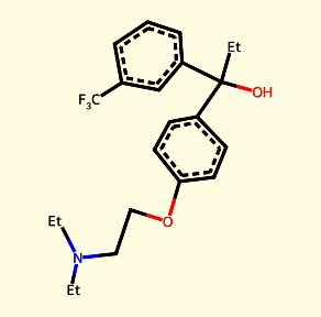 CCN(CC)CCOc1ccc(C(O)(CC)c2cccc(C(F)(F)F)c2)cc1